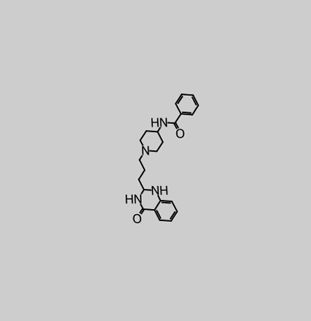 O=C(NC1CCN(CCCC2NC(=O)c3ccccc3N2)CC1)c1ccccc1